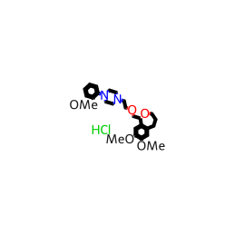 COc1cc2c(cc1OC)C(COCCN1CCN(c3ccccc3OC)CC1)OCCC2.Cl